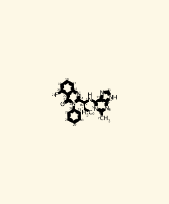 CC[C@H](Nc1nc(C)nc2[nH]cnc12)c1nc2cccc(F)c2c(=O)n1-c1ccccc1